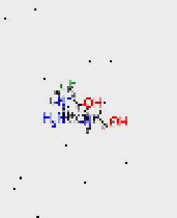 C[N+](C)(C)CCO.C[N+](C)(C)CCO.NC(=O)[O-].[Cl-]